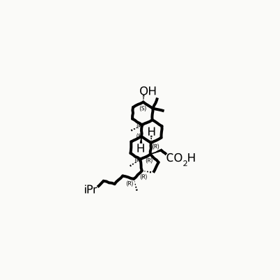 CC(C)CCC[C@@H](C)[C@H]1CC[C@@]2(CC(=O)O)[C@@H]3CCC4C(C)(C)[C@@H](O)CC[C@]4(C)[C@H]3CC[C@]12C